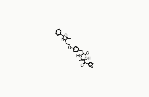 CC(=CC(=O)c1ccsc1)N[C@@H](Cc1ccc(OCCc2nc(-c3ccccc3)oc2C)cc1)C(=O)O